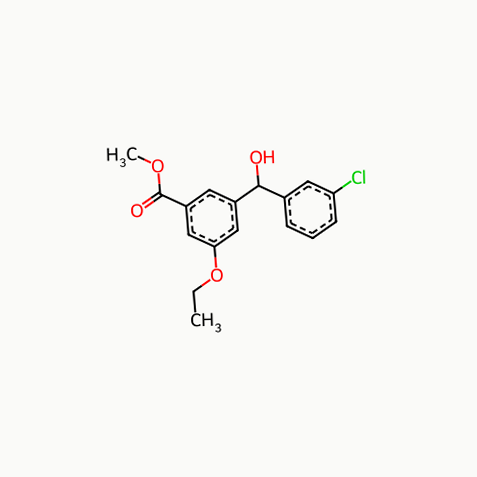 CCOc1cc(C(=O)OC)cc(C(O)c2cccc(Cl)c2)c1